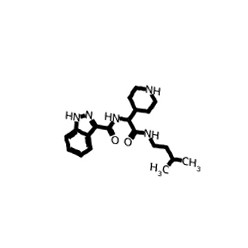 CC(C)CCNC(=O)C(NC(=O)c1n[nH]c2ccccc12)C1CCNCC1